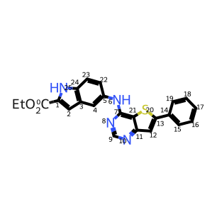 CCOC(=O)c1cc2cc(Nc3ncnc4cc(-c5ccccc5)sc34)ccc2[nH]1